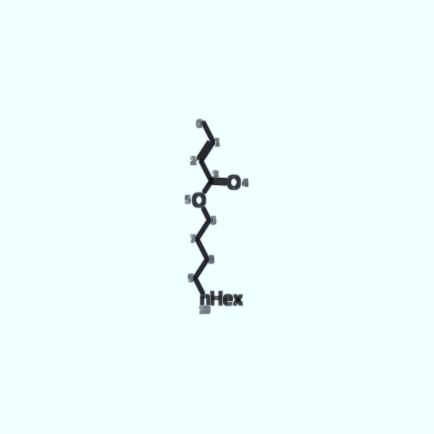 CC=CC(=O)OCCCCCCC[CH]CC